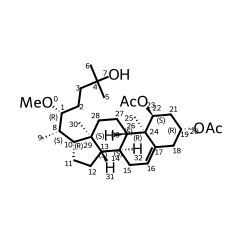 CO[C@H](CCC(C)(C)O)[C@@H](C)[C@H]1CC[C@H]2[C@@H]3CC=C4C[C@@H](OC(C)=O)C[C@H](OC(C)=O)[C@]4(C)[C@H]3CC[C@]12C